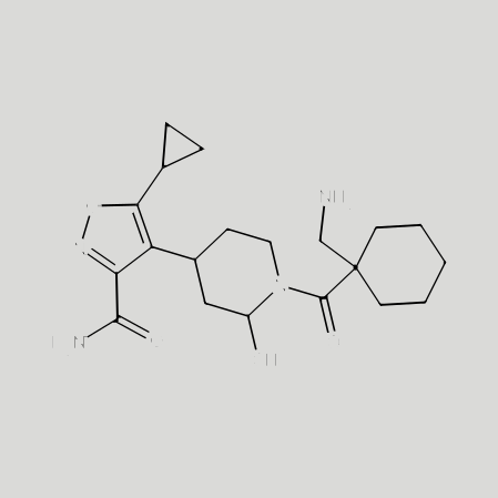 CC1CC(c2c(C(N)=O)noc2C2CC2)CCN1C(=O)C1(CN)CCCCC1